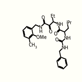 CCC(NC(=O)C(CC(C)C)NC(=O)NCc1ccccc1)C(=O)C(=O)NCc1cccc(C)c1OC